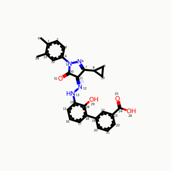 Cc1ccc(N2N=C(C3CC3)/C(=N/Nc3cccc(-c4cccc(C(=O)O)c4)c3O)C2=O)cc1C